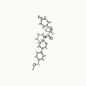 COCc1ccc(-c2ccc3c(c2)CCCN3C(=O)C(C)(C)Oc2ccc(F)cc2)cc1